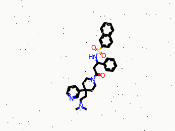 CN(C)CCC1(c2cccnc2)CCN(C(=O)CC(NS(=O)(=O)c2ccc3ccccc3c2)c2ccccc2)CC1